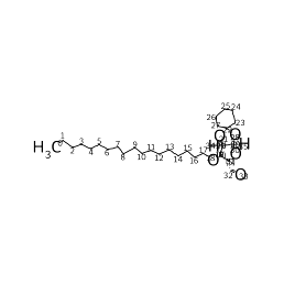 CCCCCCCCCCCCCCCCCCO[C@H]1[C@H]2OC3(CCCCC3)O[C@H]2O[C@@H]1C=O